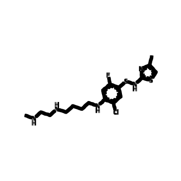 CNCCNCCCCNc1cc(F)c(SNc2nc(C)cs2)cc1Cl